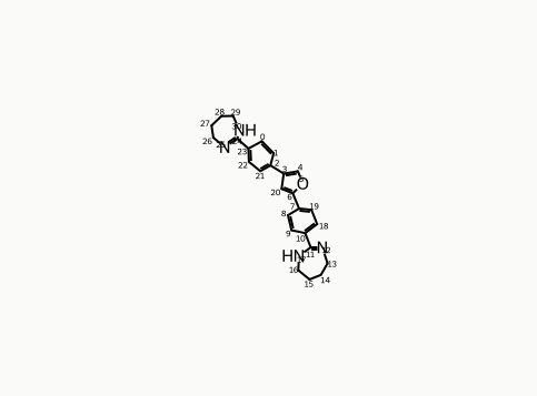 c1cc(-c2coc(-c3ccc(C4=NCCCCN4)cc3)c2)ccc1C1=NCCCCN1